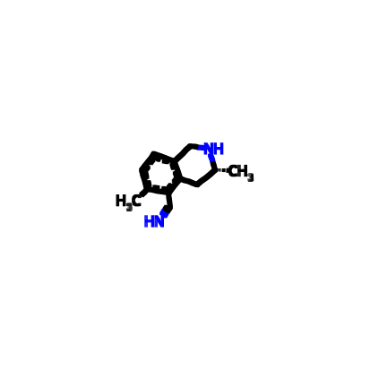 Cc1ccc2c(c1C=N)C[C@@H](C)NC2